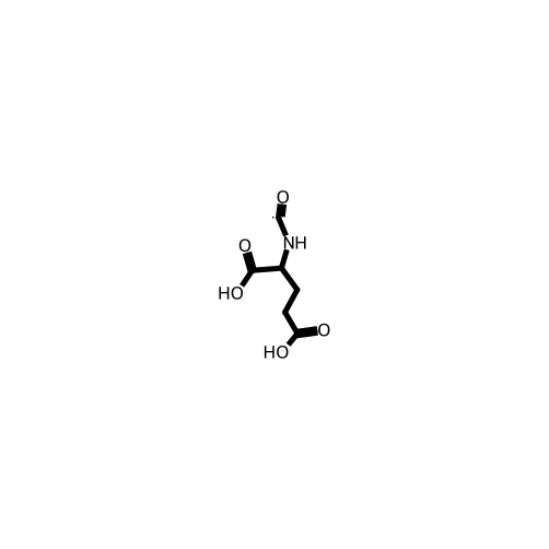 O=[C]NC(CCC(=O)O)C(=O)O